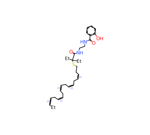 CC/C=C\C/C=C\C/C=C\C/C=C\C/C=C\CCSC(CC)(CC)C(=O)NCCNC(=O)c1ccccc1O